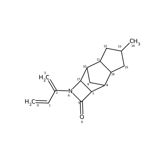 C=CC(=C)N1C(=O)C2C3CC(C4CC(C)CC43)C21